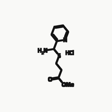 COC(=O)CCSC(N)c1ccccn1.Cl